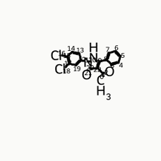 CC1Oc2ccccc2-c2[nH]n(-c3ccc(Cl)c(Cl)c3)c(=O)c21